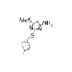 CSc1cc(N)nc(SCc2ccc(C)cc2)n1